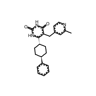 Cc1cc(Cc2c(=O)[nH]c(=O)[nH]c2[C@H]2CC[C@H](c3ccccc3)CC2)ccn1